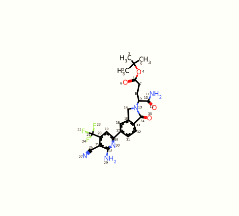 CC(C)(C)OC(=O)CCC(C(N)=O)N1Cc2cc(-c3cc(C(F)(F)F)c(C#N)c(N)n3)ccc2C1=O